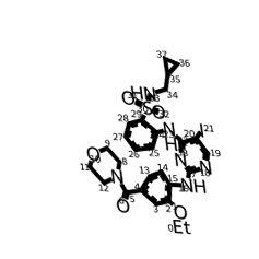 CCOc1cc(C(=O)N2CCOCC2)ccc1Nc1ncc(I)c(Nc2ccccc2S(=O)(=O)NCC2CC2)n1